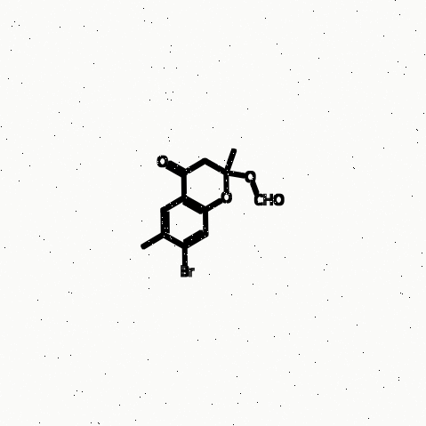 Cc1cc2c(cc1Br)OC(C)(OC=O)CC2=O